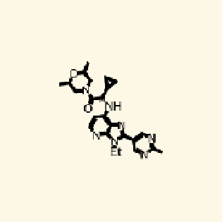 CCn1c(-c2cnc(C)nc2)nc2c(N[C@H](C(=O)N3CC(C)OC(C)C3)C3CC3)ccnc21